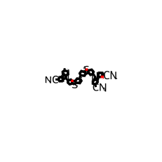 Cc1ccc2c(c1)c1cc(C#N)ccc1n2-c1ccc2sc3ccc(-c4ccc5sc6ccc(-n7c8ccc(C#N)cc8c8cc(C#N)ccc87)cc6c5c4)cc3c2c1